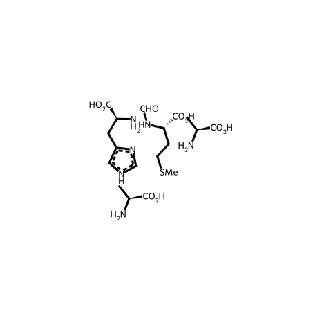 CSCC[C@H](NC=O)C(=O)O.C[C@H](N)C(=O)O.C[C@H](N)C(=O)O.N[C@@H](Cc1c[nH]cn1)C(=O)O